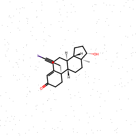 C[C@]12CC[C@H]3[C@@H](CCC4=CC(=O)CC[C@@]43CC#CI)[C@@H]1CC[C@@H]2O